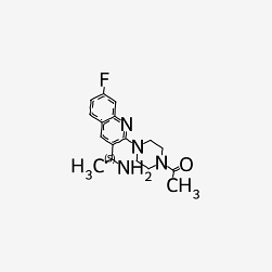 CC(=O)N1CCN(c2nc3cc(F)ccc3cc2[C@H](C)N)CC1